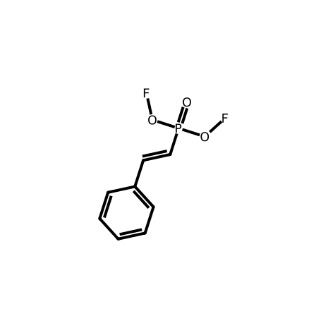 O=P(C=Cc1ccccc1)(OF)OF